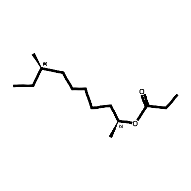 CCC(=O)O[C@@H](C)CCCCC[C@H](C)CC